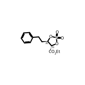 CCOC(=O)[C@H]1OS(=O)(=O)O[C@@H]1CCc1ccccc1